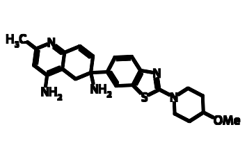 COC1CCN(c2nc3ccc(C4(N)C=Cc5nc(C)cc(N)c5C4)cc3s2)CC1